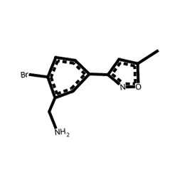 Cc1cc(-c2ccc(Br)c(CN)c2)no1